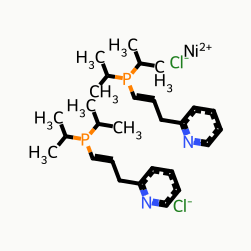 CC(C)P(C=CCc1ccccn1)C(C)C.CC(C)P(C=CCc1ccccn1)C(C)C.[Cl-].[Cl-].[Ni+2]